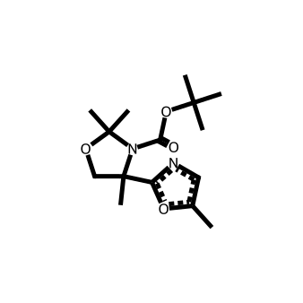 Cc1cnc(C2(C)COC(C)(C)N2C(=O)OC(C)(C)C)o1